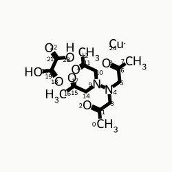 CC(=O)CN(CC(C)=O)N(CC(C)=O)CC(C)=O.O=C(O)C(=O)O.[Cu]